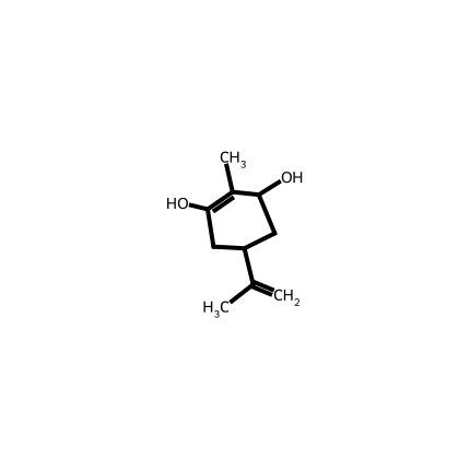 C=C(C)C1CC(O)=C(C)C(O)C1